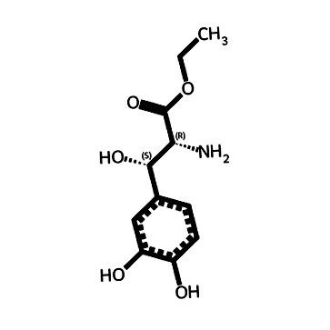 CCOC(=O)[C@H](N)[C@@H](O)c1ccc(O)c(O)c1